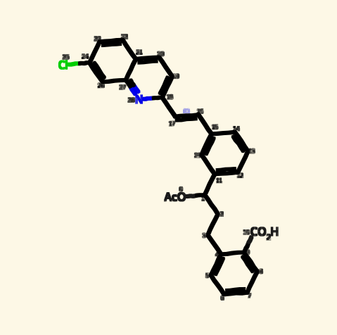 CC(=O)OC(CCc1ccccc1C(=O)O)c1cccc(/C=C/c2ccc3ccc(Cl)cc3n2)c1